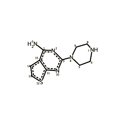 Nc1nc(N2CCNCC2)nc2sccc12